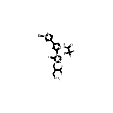 CCn1cc(-c2csc(-n3nnn(CC(CN)=C(F)F)c3=O)c2)cn1.O=C(O)C(F)(F)F